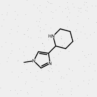 Cn1cnc(C2CCCCN2)c1